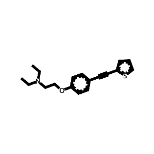 CCN(CC)CCOc1ccc(C#Cc2cccs2)cc1